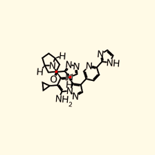 Nc1c(C2CC2)c([C@@H]2C[C@H]3CC[C@@H](C2)N3C(=O)c2nnc[nH]2)nc2c(-c3ccc(-c4ncc[nH]4)nc3)cnn12